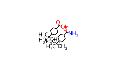 CC(C)(C)C1CCC(C(=O)O)CC1.CC(C)(C)C1CCC(C(N)=O)CC1